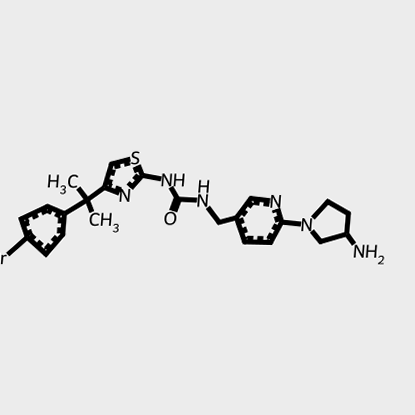 CC(C)(c1ccc(Br)cc1)c1csc(NC(=O)NCc2ccc(N3CCC(N)C3)nc2)n1